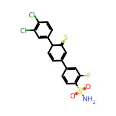 NS(=O)(=O)c1ccc(C2=CC(=S)C(c3ccc(Cl)c(Cl)c3)C=C2)cc1F